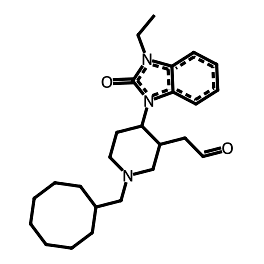 CCn1c(=O)n(C2CCN(CC3CCCCCCC3)CC2CC=O)c2ccccc21